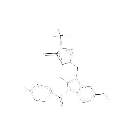 COc1ccc2c(c1)c(Cc1cc(=O)n(C(C)(C)C)[nH]1)c(C)n2C(=O)c1ccc(Cl)cc1